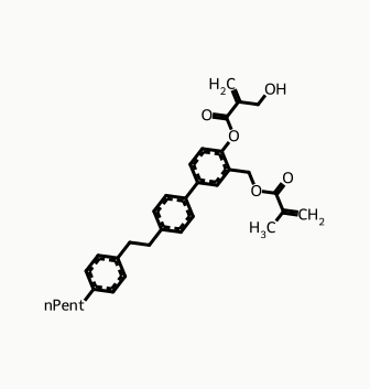 C=C(C)C(=O)OCc1cc(-c2ccc(CCc3ccc(CCCCC)cc3)cc2)ccc1OC(=O)C(=C)CO